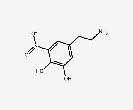 NCCc1cc(O)c(O)c([N+](=O)[O-])c1